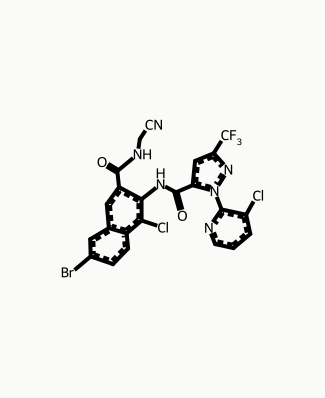 N#CCNC(=O)c1cc2cc(Br)ccc2c(Cl)c1NC(=O)c1cc(C(F)(F)F)nn1-c1ncccc1Cl